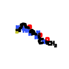 C=CC(=O)N1CCCC(c2nc(-c3ccc(NC(=O)c4cccc(-c5cscn5)n4)nc3)no2)C1